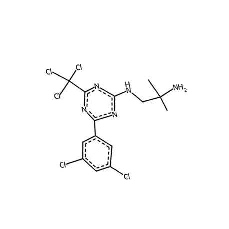 CC(C)(N)CNc1nc(-c2cc(Cl)cc(Cl)c2)nc(C(Cl)(Cl)Cl)n1